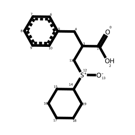 O=C(O)C(Cc1ccccc1)C[S+]([O-])C1CCCCC1